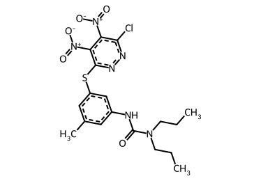 CCCN(CCC)C(=O)Nc1cc(C)cc(Sc2nnc(Cl)c([N+](=O)[O-])c2[N+](=O)[O-])c1